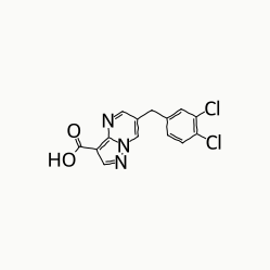 O=C(O)c1cnn2cc(Cc3ccc(Cl)c(Cl)c3)cnc12